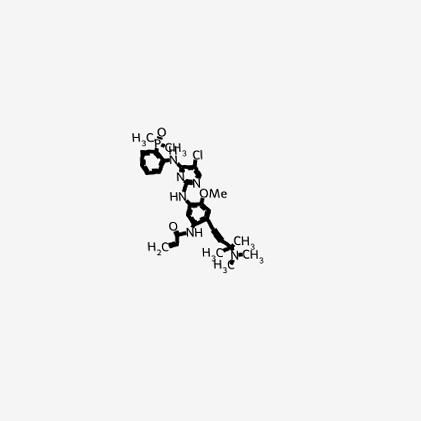 C=CC(=O)Nc1cc(Nc2ncc(Cl)c(Nc3ccccc3P(C)(C)=O)n2)c(OC)cc1C#CC(C)(C)N(C)C